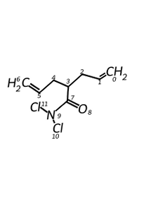 C=CCC(CC=C)C(=O)N(Cl)Cl